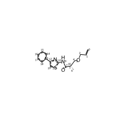 C=CCOC[C@H](C)C(=O)Nc1nc(-c2ccccc2)cs1